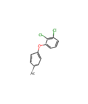 CC(=O)c1ccc(Oc2cccc(Cl)c2Cl)cc1